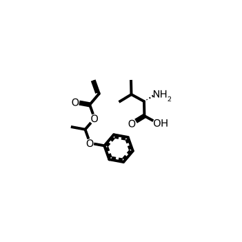 C=CC(=O)OC(C)Oc1ccccc1.CC(C)[C@H](N)C(=O)O